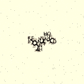 OCCC1(CNc2ncnc(NC(c3ccc(C(F)(F)F)cc3)C3CC3)c2F)CCOCC1